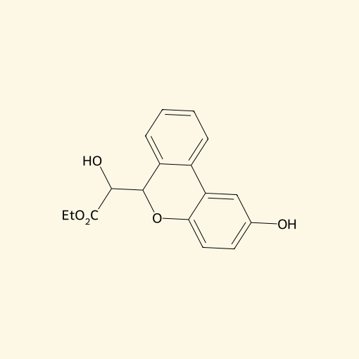 CCOC(=O)C(O)C1Oc2ccc(O)cc2-c2ccccc21